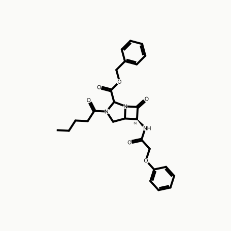 CCCCC(=O)N1CC2[C@H](NC(=O)COc3ccccc3)C(=O)N2C1C(=O)OCc1ccccc1